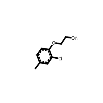 Cc1[c]cc(OCCO)c(Cl)c1